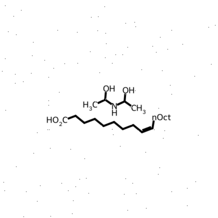 CC(O)NC(C)O.CCCCCCCC/C=C\CCCCCCCC(=O)O